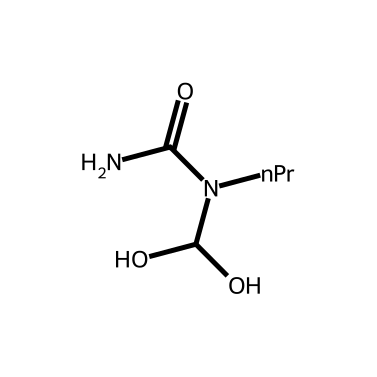 CCCN(C(N)=O)C(O)O